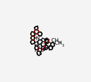 Cc1cccc(-c2ccc3c(c2-c2cccc(C)c2C)-c2c(c(N(c4ccccc4-c4ccccc4)c4ccccc4-c4ccccc4-c4ccccc4)c(-c4ccccc4)c(-c4ccccc4)c2-c2c4c(cc(-c5ccccc5)c2-c2ccccc2)-c2ccccc2C4)C3)c1C